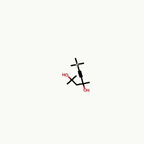 CC(C)(O)CC(C)(O)C#C[Si](C)(C)C